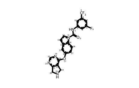 O=C(Nc1cc(F)cc(C(F)(F)F)c1)n1ccc2cc(Oc3ncnc4c3CNC4)ccc21